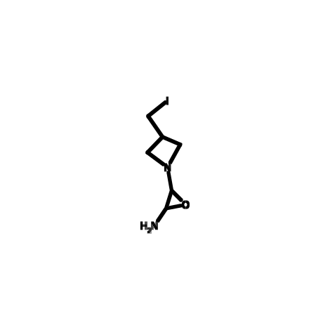 NC1OC1N1CC(CI)C1